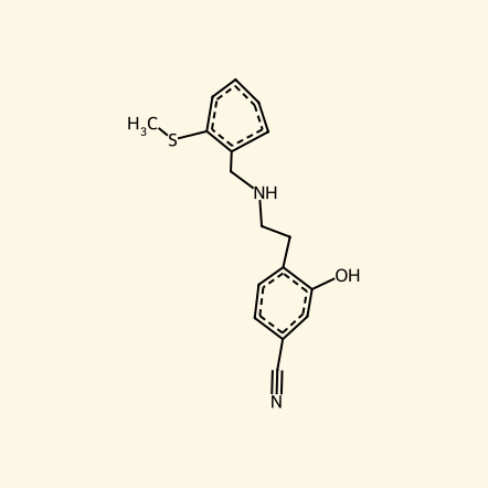 CSc1ccccc1CNCCc1ccc(C#N)cc1O